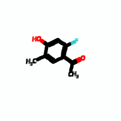 CC(=O)c1cc(C)c(O)cc1F